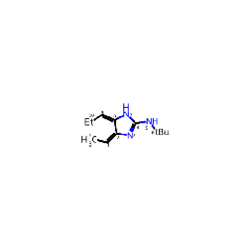 C/C=c1/nc(NC(C)(C)C)[nH]/c1=C/CC